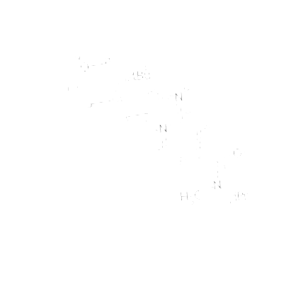 CC(C)N(C)C(=O)c1ccn2c(CC3CCOCC3)c(C(C)(C)C)nc2c1